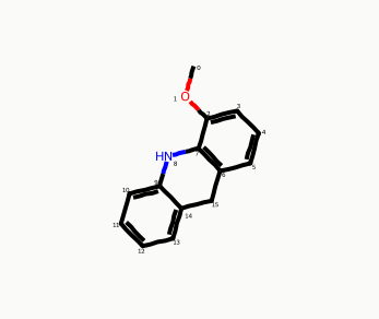 COc1cccc2c1Nc1ccccc1C2